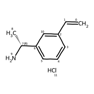 C=Cc1cccc([C@@H](C)N)c1.Cl